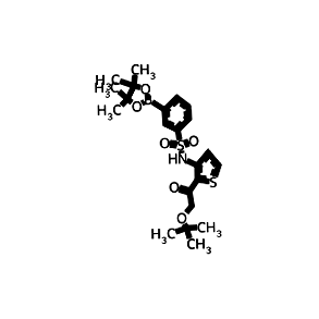 CC(C)(C)OCC(=O)c1sccc1NS(=O)(=O)c1cccc(B2OC(C)(C)C(C)(C)O2)c1